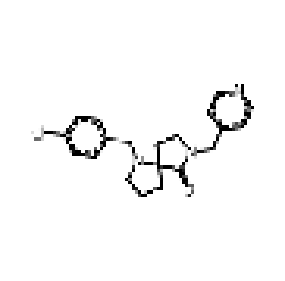 O=C1N(Cc2ccncc2)CCC12CCCN2Cc1ccc(Cl)cc1